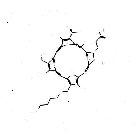 CCCCCOCc1c(C)c2cc3nc(c(C)c4[nH]c(cc5nc(cc1[nH]2)C(C)=C5CC)c(C)c4C(=O)O)[C@@H](CCC(=O)O)[C@@H]3C